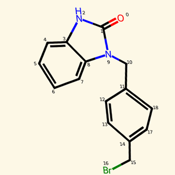 O=c1[nH]c2ccccc2n1Cc1ccc(CBr)cc1